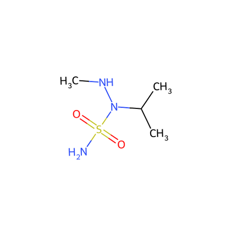 CNN(C(C)C)S(N)(=O)=O